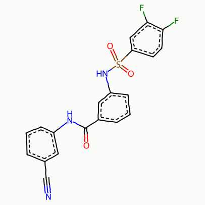 N#Cc1cccc(NC(=O)c2cccc(NS(=O)(=O)c3ccc(F)c(F)c3)c2)c1